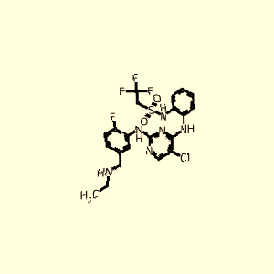 CCNCc1ccc(F)c(Nc2ncc(Cl)c(Nc3ccccc3NS(=O)(=O)CC(F)(F)F)n2)c1